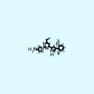 CCc1cc(C2CC(c3c(F)cccc3OC)=CN2)nc(N2CC[C@@H](N)C2)n1